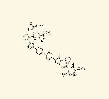 COC(=O)N[C@H](C(=O)N1CCC[C@H]1c1ncc(-c2ccc(-c3ccc(-c4cnc([C@@H]5CCCN5C(=O)[C@@H](Cc5cncn5C)NC(=O)OC)[nH]4)cc3)cc2)[nH]1)[C@@H](C)OC